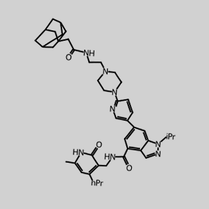 CCCc1cc(C)[nH]c(=O)c1CNC(=O)c1cc(-c2ccc(N3CCN(CCNC(=O)CC45CC6CC(CC(C6)C4)C5)CC3)nc2)cc2c1cnn2C(C)C